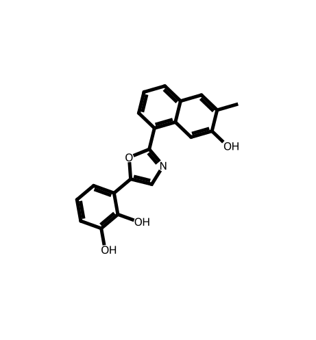 Cc1cc2cccc(-c3ncc(-c4cccc(O)c4O)o3)c2cc1O